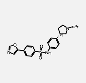 CCCN1CC[C@@H](c2ccc(NS(=O)(=O)c3ccc(-c4cnco4)cc3)cc2)C1